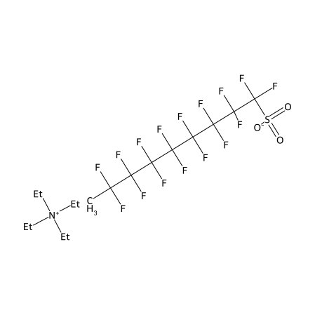 CC(F)(F)C(F)(F)C(F)(F)C(F)(F)C(F)(F)C(F)(F)C(F)(F)C(F)(F)S(=O)(=O)[O-].CC[N+](CC)(CC)CC